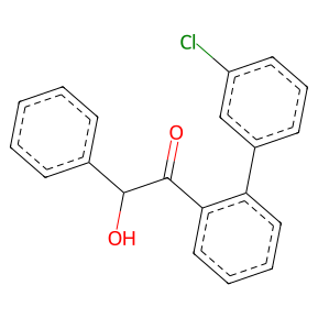 O=C(c1ccccc1-c1cccc(Cl)c1)C(O)c1ccccc1